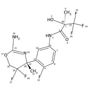 C[C@@](O)(C(=O)Nc1ccc(F)c([C@@]2(C)N=C(N)OCC2(F)F)c1)C(F)(F)F